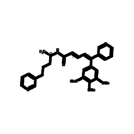 COc1cc(/C(=C\C=C\C(=O)N[C@H](C)CCCc2cccnc2)c2cccnc2)cc(OC)c1OC